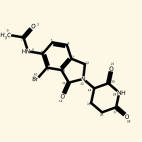 CC(=O)Nc1ccc2c(c1Br)C(=O)N(C1CCC(=O)NC1=O)C2